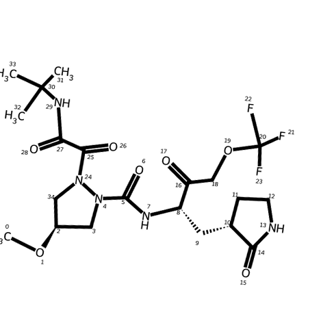 CO[C@@H]1CN(C(=O)N[C@@H](C[C@@H]2CCNC2=O)C(=O)COC(F)(F)F)N(C(=O)C(=O)NC(C)(C)C)C1